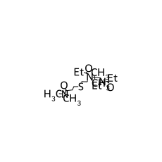 CCC(=O)N(CC)CC(C)(C)N(CCSCCC(=O)N(C)C)C(=O)CC